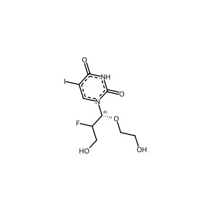 O=c1[nH]c(=O)n([C@H](OCCO)C(F)CO)cc1I